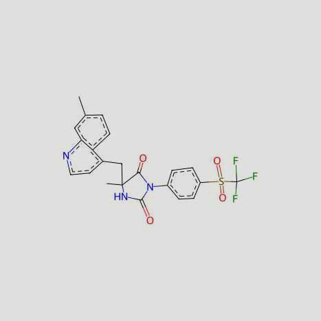 Cc1ccc2c(CC3(C)NC(=O)N(c4ccc(S(=O)(=O)C(F)(F)F)cc4)C3=O)ccnc2c1